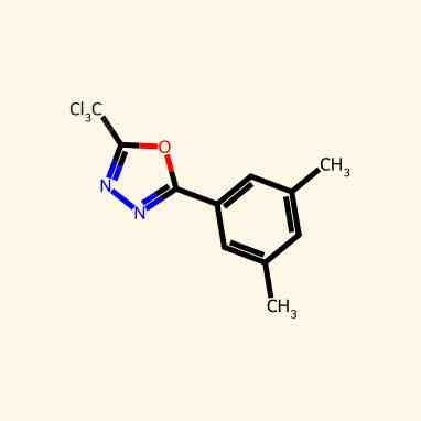 Cc1cc(C)cc(-c2nnc(C(Cl)(Cl)Cl)o2)c1